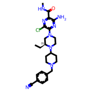 CC[C@H]1CN(c2nc(N)c(C(=O)NC)nc2Cl)CCN1C1CCN(Cc2ccc(C#N)cc2)CC1